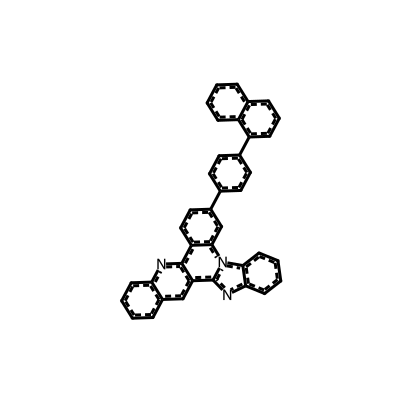 c1ccc2nc3c4ccc(-c5ccc(-c6cccc7ccccc67)cc5)cc4n4c5ccccc5nc4c3cc2c1